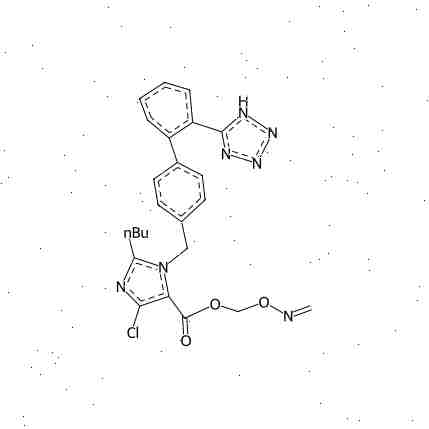 C=NOCOC(=O)c1c(Cl)nc(CCCC)n1Cc1ccc(-c2ccccc2-c2nnn[nH]2)cc1